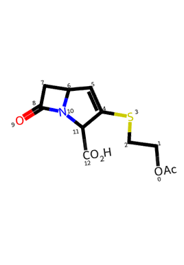 CC(=O)OCCSC1=CC2CC(=O)N2C1C(=O)O